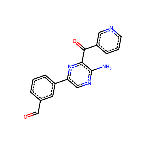 Nc1ncc(-c2cccc(C=O)c2)nc1C(=O)c1cccnc1